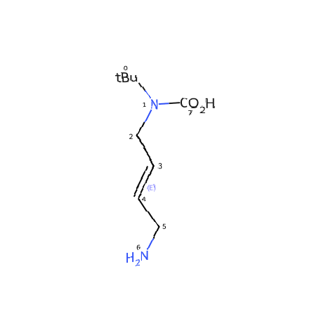 CC(C)(C)N(C/C=C/CN)C(=O)O